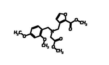 COC(=O)CN(Cc1ccc(OC)cc1OC)Cc1ccoc1C(=O)OC